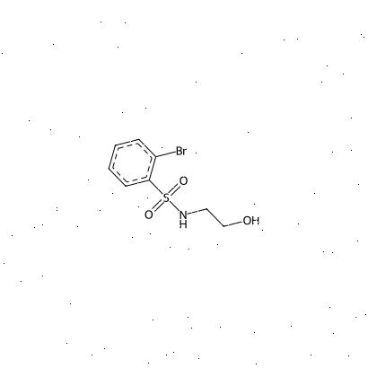 O=S(=O)(NCCO)c1ccccc1Br